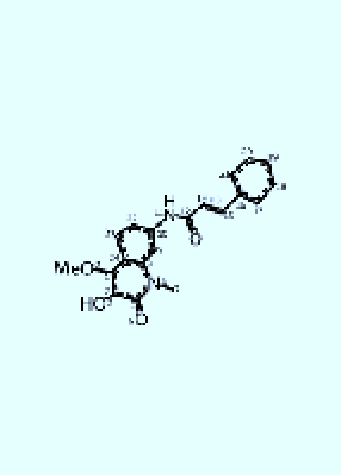 COc1c(O)c(=O)n(C)c2cc(NC(=O)/C=C/c3ccccc3)ccc12